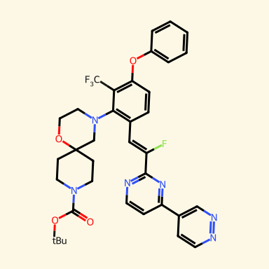 CC(C)(C)OC(=O)N1CCC2(CC1)CN(c1c(/C=C(\F)c3nccc(-c4ccnnc4)n3)ccc(Oc3ccccc3)c1C(F)(F)F)CCO2